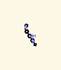 C1=C(c2ccc(CN3CCCC3)cc2)CNC(C2CCN(C3CCC3)CC2)=C1